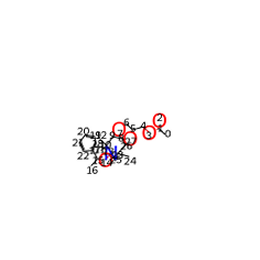 CC(=O)OCC1COC2(CC(C)(C)N(OC(C)c3ccccc3)C(C)(C)C2)O1